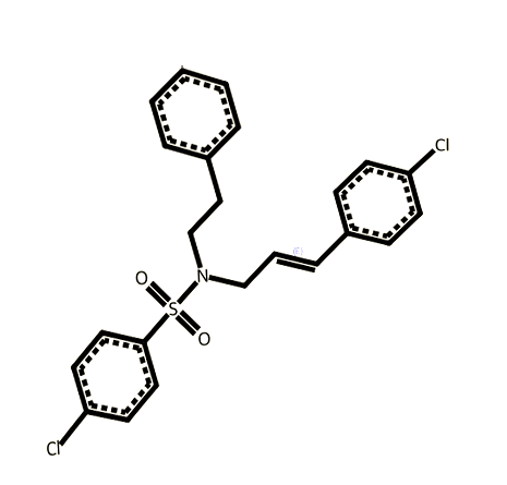 O=S(=O)(c1ccc(Cl)cc1)N(C/C=C/c1ccc(Cl)cc1)CCc1cc[c]cc1